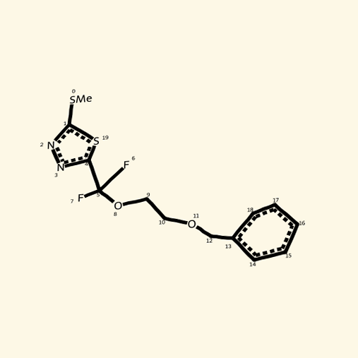 CSc1nnc(C(F)(F)OCCOCc2ccccc2)s1